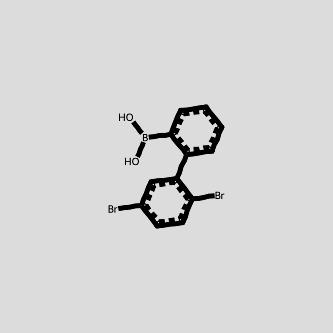 OB(O)c1ccccc1-c1cc(Br)ccc1Br